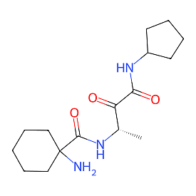 C[C@H](NC(=O)C1(N)CCCCC1)C(=O)C(=O)NC1CCCC1